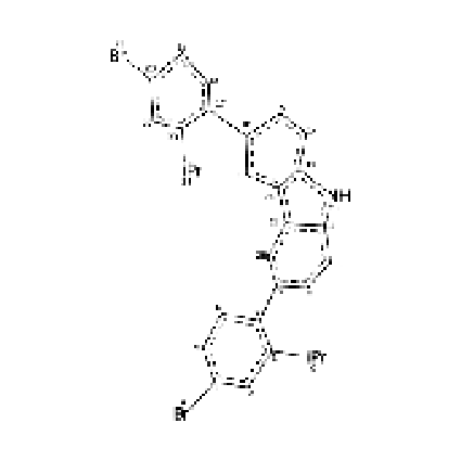 CC(C)c1cc(Br)ccc1-c1ccc2[nH]c3ccc(-c4ccc(Br)cc4C(C)C)cc3c2c1